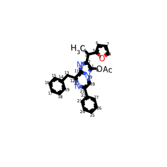 CC(=O)Oc1c(C(C)c2ccco2)nc2c(Cc3ccccc3)nc(-c3ccccc3)cn12